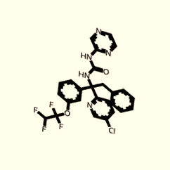 O=C(Nc1cnccn1)NC(Cc1ccccc1)(c1cccc(OC(F)(F)C(F)F)c1)c1ccc(Cl)cn1